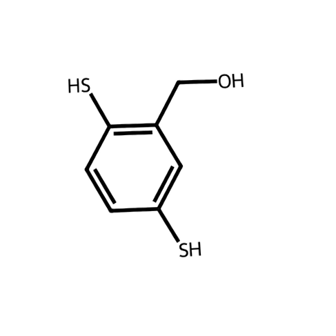 OCc1cc(S)ccc1S